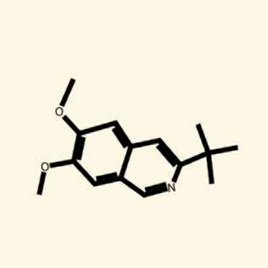 COc1cc2cnc(C(C)(C)C)cc2cc1OC